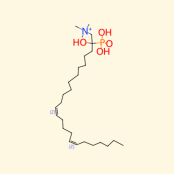 CCCCCC/C=C\CCC/C=C\CCCCCCCCCC(O)(C[N+](C)(C)C)P(=O)(O)O